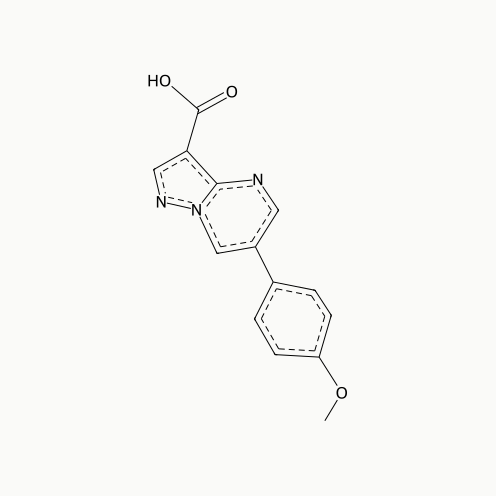 COc1ccc(-c2cnc3c(C(=O)O)cnn3c2)cc1